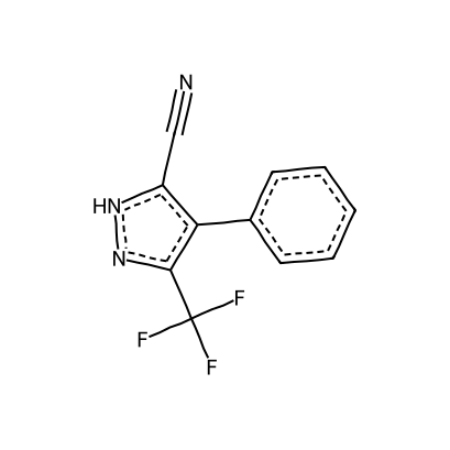 N#Cc1[nH]nc(C(F)(F)F)c1-c1ccccc1